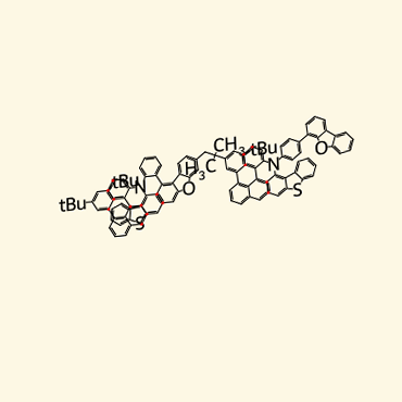 CC(C)(C)c1cc(-c2cccc3cccc(-c4ccccc4N(c4ccccc4-c4cccc5oc6cc(CC(C)(C)c7cc(-c8cccc9cccc(-c%10ccccc%10N(c%10ccc(-c%11cccc%12c%11oc%11ccccc%11%12)cc%10)c%10cccc%11sc%12ccccc%12c%10%11)c89)cc(C(C)(C)C)c7)ccc6c45)c4cccc5sc6ccccc6c45)c23)cc(C(C)(C)C)c1